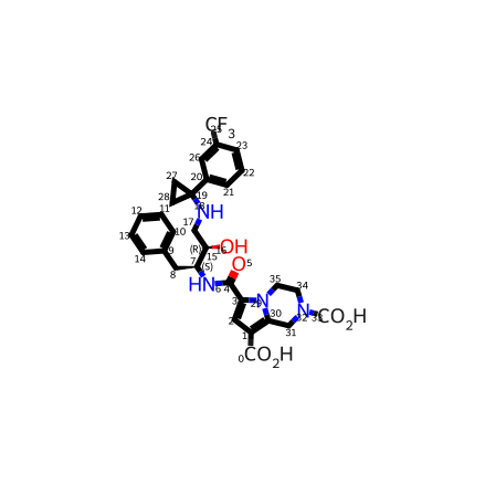 O=C(O)c1cc(C(=O)N[C@@H](Cc2ccccc2)[C@H](O)CNC2(c3cccc(C(F)(F)F)c3)CC2)n2c1CN(C(=O)O)CC2